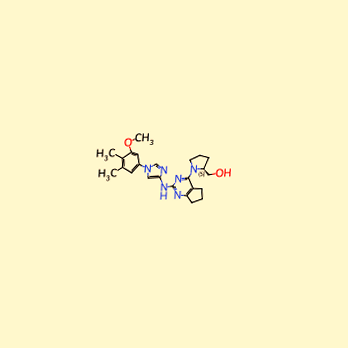 COc1cc(-n2cnc(Nc3nc4c(c(N5CCC[C@H]5CO)n3)CCC4)c2)cc(C)c1C